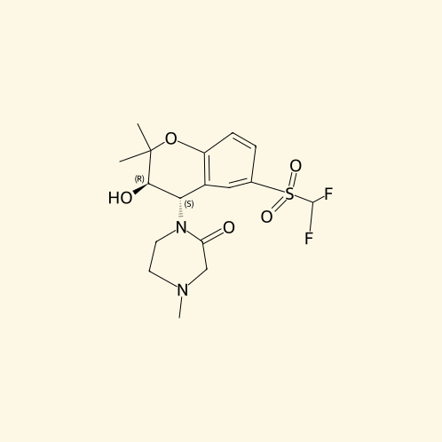 CN1CCN([C@H]2c3cc(S(=O)(=O)C(F)F)ccc3OC(C)(C)[C@@H]2O)C(=O)C1